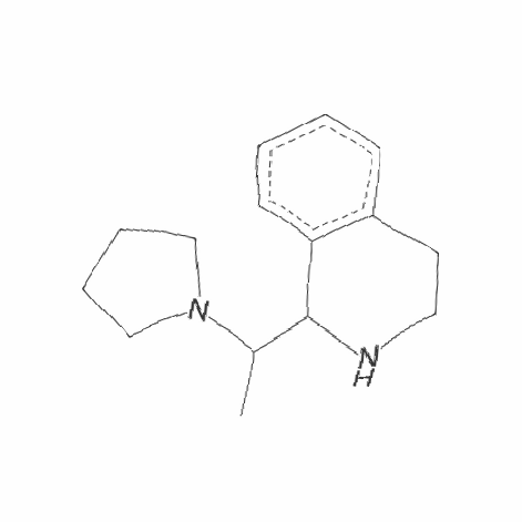 CC(C1NCCc2ccccc21)N1CCCC1